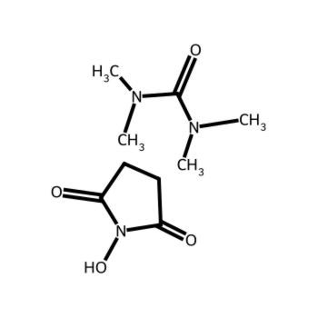 CN(C)C(=O)N(C)C.O=C1CCC(=O)N1O